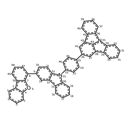 c1ccc2c(c1)oc1c(-c3ccc4c(c3)c3ccccc3n4-c3ccc(-c4cc5c6ccccc6n6c7ccccc7c(c4)c56)cc3)cccc12